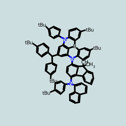 CC(C)(C)c1ccc(C(c2ccc(C(C)(C)C)cc2)c2cc3c4c(c2)N(c2ccc(N(c5ccc(C(C)(C)C)cc5)c5cccc6ccccc56)c5c2C(C)(C)c2ccccc2-5)c2ccc(C(C)(C)C)cc2B4c2cc(C(C)(C)C)ccc2N3c2ccc(C(C)(C)C)cc2)cc1